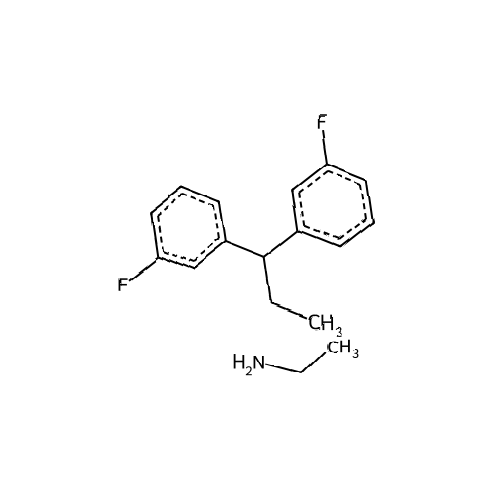 CCC(c1cccc(F)c1)c1cccc(F)c1.CCN